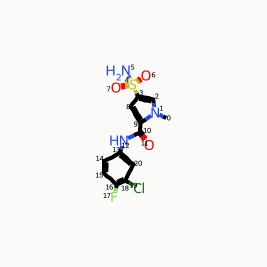 Cn1cc(S(N)(=O)=O)cc1C(=O)Nc1ccc(F)c(Cl)c1